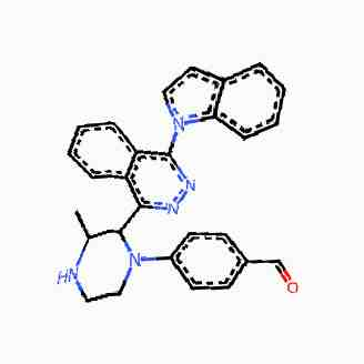 CC1NCCN(c2ccc(C=O)cc2)C1c1nnc(-n2ccc3ccccc32)c2ccccc12